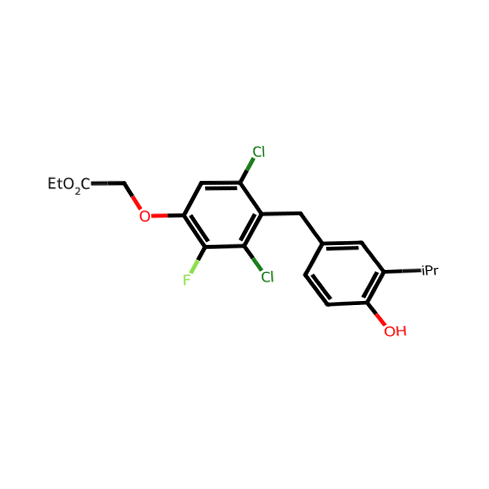 CCOC(=O)COc1cc(Cl)c(Cc2ccc(O)c(C(C)C)c2)c(Cl)c1F